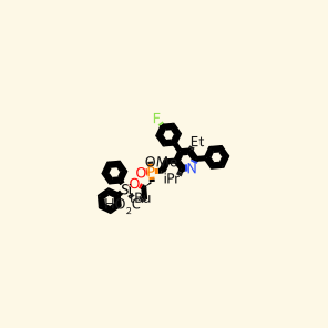 CCc1c(-c2ccccc2)nc(C(C)C)c(C=CP(=O)(C[C@H](CC(=O)O)O[Si](c2ccccc2)(c2ccccc2)C(C)(C)C)OC)c1-c1ccc(F)cc1